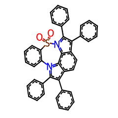 O=S1(=O)c2ccccc2-n2c(-c3ccccc3)c(-c3ccccc3)c3ccc4c(-c5ccccc5)c(-c5ccccc5)n1c4c32